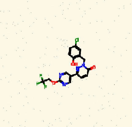 O=c1ccc(-c2cnc(OCC(F)(F)F)nc2)nn1Cc1cc(Cl)ccc1O